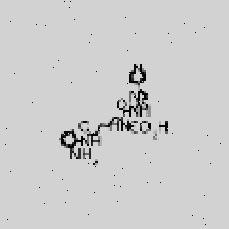 Nc1ccccc1NC(=O)CCCCC(NC(=O)O)C(=O)Nc1nc(-c2ccncc2)cs1